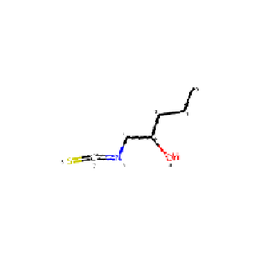 CCCC(O)CN=C=S